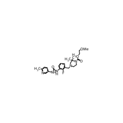 COCCOC(=O)N1CCN(Cc2cccc(NC(=O)Nc3ccc(C)nc3)c2F)CC1(C)C